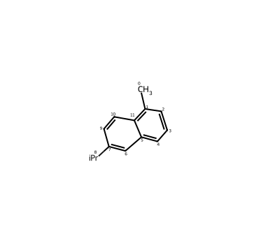 Cc1cccc2cc(C(C)C)ccc12